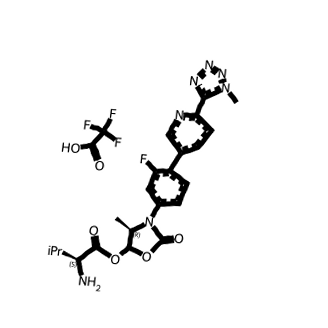 CC(C)[C@H](N)C(=O)OC1OC(=O)N(c2ccc(-c3ccc(-c4nnnn4C)nc3)c(F)c2)[C@@H]1C.O=C(O)C(F)(F)F